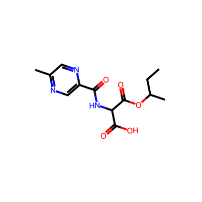 CCC(C)OC(=O)C(NC(=O)c1cnc(C)cn1)C(=O)O